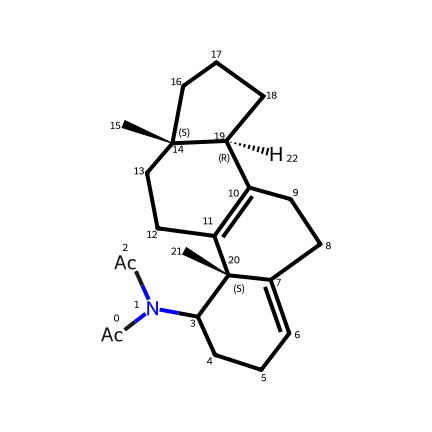 CC(=O)N(C(C)=O)C1CCC=C2CCC3=C(CC[C@]4(C)CCC[C@@H]34)[C@]21C